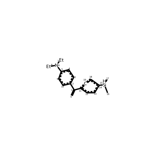 C=C(c1ccc(N(CC)CC)cc1)c1ccc([SiH](C)C)cc1